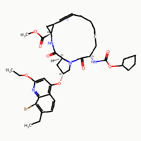 CCOc1cc(O[C@@H]2C[C@H]3C(=O)N[C@]4(C(=O)OC)CC4/C=C\CCCCC[C@H](NC(=O)OC4CCCC4)C(=O)N3C2)c2ccc(CC)c(Br)c2n1